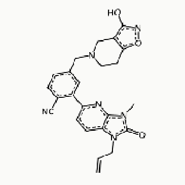 C=CCn1c(=O)n(C)c2nc(-c3cc(CN4CCc5onc(O)c5C4)ccc3C#N)ccc21